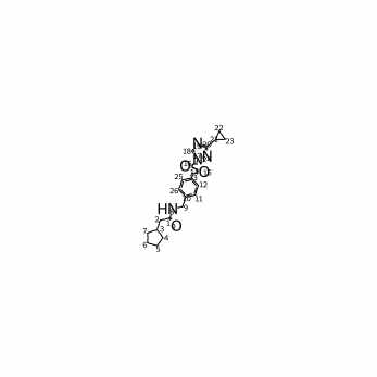 O=C(CC1CCCC1)NCc1ccc(S(=O)(=O)n2cnc(C3CC3)n2)cc1